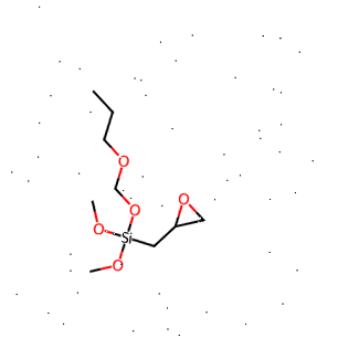 CCCOCO[Si](CC1CO1)(OC)OC